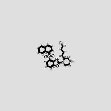 O=S(=O)(c1cccc2ccccc12)c1cccc2oc(N3CCNCC3CCCCF)nc12